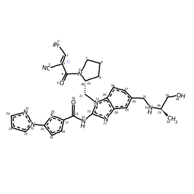 CC(C)/C=C(\C#N)C(=O)N1CCC[C@@H]1Cn1c(NC(=O)c2ccc(-n3cccn3)s2)nc2cc(CN[C@H](C)CO)ccc21